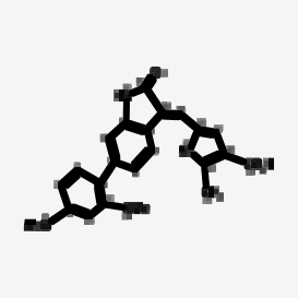 COc1ccc(-c2ccc3c(c2)NC(=O)C3=Cc2cc(C(=O)O)c(C)[se]2)c(OC)c1